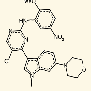 COc1ccc([N+](=O)[O-])cc1Nc1ncc(Cl)c(-c2cn(C)c3cc(N4CCOCC4)ccc23)n1